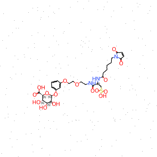 O=C(CCCCCN1C(=O)C=CC1=O)N[C@@H](CS(=O)(=O)O)C(=O)NCCOCCOc1cccc(O[C@@H]2O[C@H](C(=O)O)[C@@H](O)[C@H](O)[C@H]2O)c1